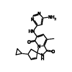 Cc1cc(Nc2cc(N)ncn2)c(=O)n2c1C(=O)NC21C=CC(C2CC2)C1